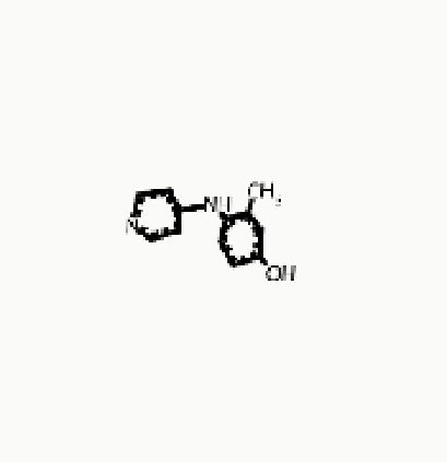 Cc1cc(O)ccc1Nc1ccncc1